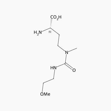 COCCNC(=O)N(C)CC[C@H](N)C(=O)O